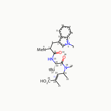 CNC(Cc1cn(C)c2ccccc12)C(=O)N[C@H](C(=O)N(C)C(C)/C=C(\C)C(=O)O)C(C)(C)C